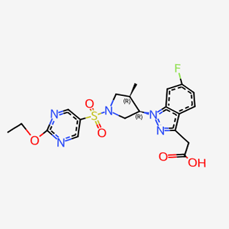 CCOc1ncc(S(=O)(=O)N2C[C@@H](C)[C@@H](n3nc(CC(=O)O)c4ccc(F)cc43)C2)cn1